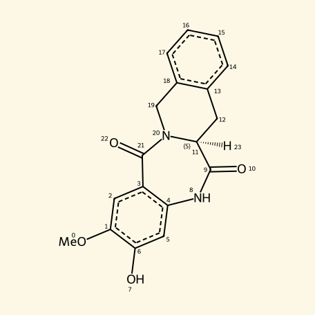 COc1cc2c(cc1O)NC(=O)[C@@H]1Cc3ccccc3CN1C2=O